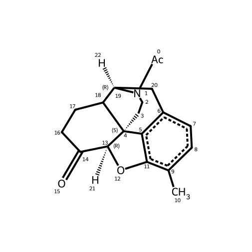 CC(=O)N1CC[C@]23c4c5ccc(C)c4O[C@H]2C(=O)CCC3[C@H]1C5